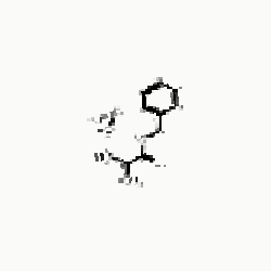 CC(N)C(=O)OCc1ccccc1.CCO.Cl